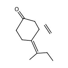 C=C.CCC(C)=C1CCC(=O)CC1